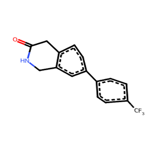 O=C1Cc2ccc(-c3ccc(C(F)(F)F)cc3)cc2CN1